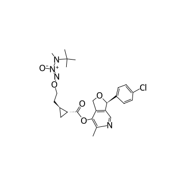 Cc1ncc2c(c1OC(=O)[C@@H]1C[C@H]1CCO/N=[N+](\[O-])N(C)C(C)(C)C)CO[C@H]2c1ccc(Cl)cc1